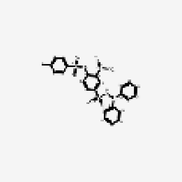 Cc1ccc(S(=O)(=O)Oc2ccc(S(=O)(=O)O[I+](c3ccccc3)c3ccccc3)cc2[N+](=O)[O-])cc1